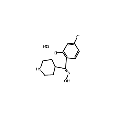 Cl.ON=C(c1ccc(Cl)cc1Cl)C1CCNCC1